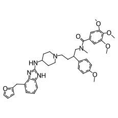 COc1ccc(C(CCN2CCC(Nc3nc4c(Cc5ccco5)cccc4[nH]3)CC2)CN(C)C(=O)c2cc(OC)c(OC)c(OC)c2)cc1